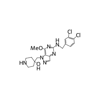 COc1nc(NCc2ccc(Cl)c(Cl)c2)nc2cnn(CC3(O)CCNCC3)c12